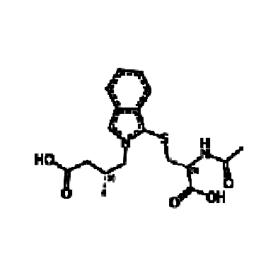 CC(=O)N[C@@H](CSc1c2ccccc2cn1C[C@H](C)CC(=O)O)C(=O)O